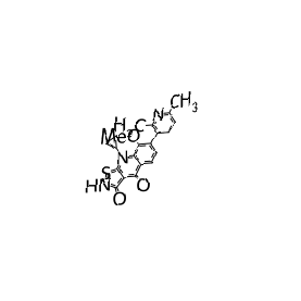 COc1c(-c2ccc(C)nc2C)ccc2c(=O)c3c(=O)[nH]sc3n(C3CC3)c12